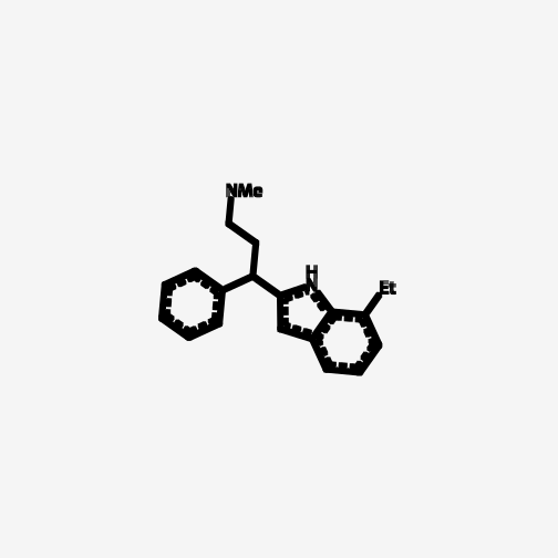 CCc1cccc2cc(C(CCNC)c3ccccc3)[nH]c12